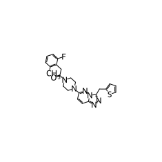 Cc1cccc(F)c1CC(=O)N1CCN(c2ccc3nnc(Cc4cccs4)n3n2)CC1